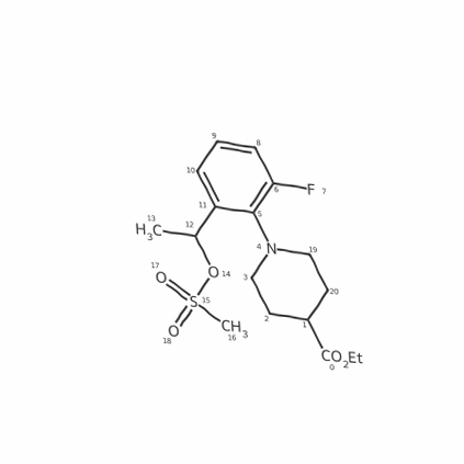 CCOC(=O)C1CCN(c2c(F)cccc2C(C)OS(C)(=O)=O)CC1